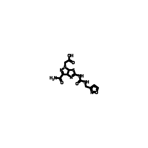 NC(=O)C1=NN(CC(=O)O)C2SC(NC(=O)NCc3ccon3)=NC12